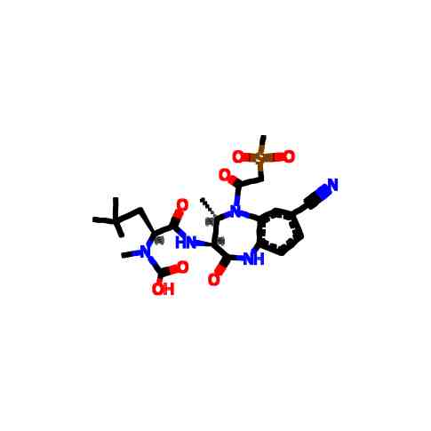 C[C@H]1[C@H](NC(=O)[C@H](CC(C)(C)C)N(C)C(=O)O)C(=O)Nc2ccc(C#N)cc2N1C(=O)CS(C)(=O)=O